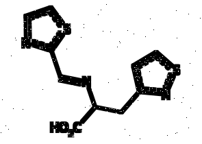 O=C(O)C(Cc1ccsn1)N=Cc1nccs1